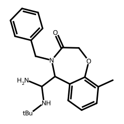 Cc1cccc2c1OCC(=O)N(Cc1ccccc1)C2C(N)NC(C)(C)C